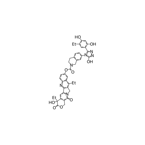 CCc1cc(-c2nnc(O)n2-c2ccc3c(c2)CN(C(=O)Oc2ccc4nc5c(c(CC)c4c2)Cn2c-5cc4c(c2=O)COC(=O)C4(O)CC)CC3)c(O)cc1O